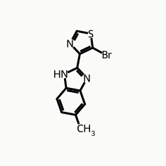 Cc1ccc2[nH]c(-c3ncsc3Br)nc2c1